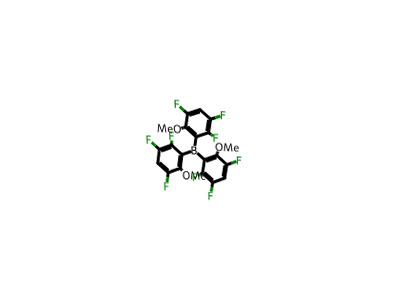 COc1c(F)cc(F)c(F)c1B(c1c(F)c(F)cc(F)c1OC)c1c(F)c(F)cc(F)c1OC